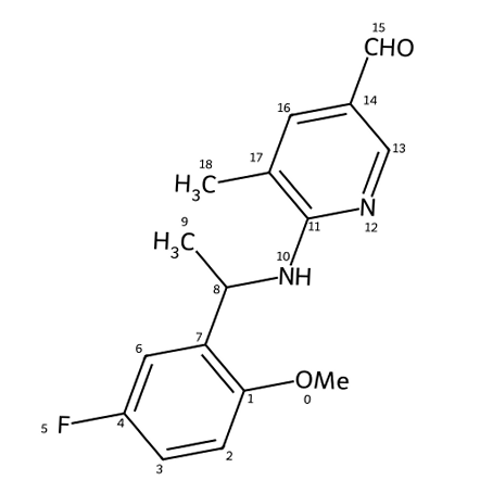 COc1ccc(F)cc1C(C)Nc1ncc(C=O)cc1C